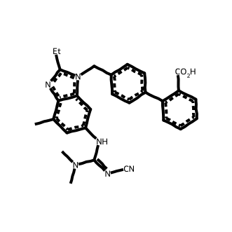 CCc1nc2c(C)cc(N/C(=N\C#N)N(C)C)cc2n1Cc1ccc(-c2ccccc2C(=O)O)cc1